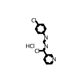 Cl.ClC(=NC=Nc1ccc(Cl)cc1)c1cccnc1